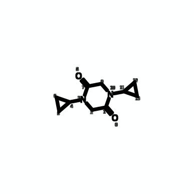 O=C1CN(C2CC2)C(=O)CN1C1CC1